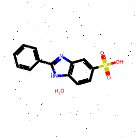 O.O=S(=O)(O)c1ccc2[nH]c(-c3ccccc3)nc2c1